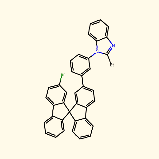 CCc1nc2ccccc2n1-c1cccc(-c2ccc3c(c2)C2(c4ccccc4-c4ccc(Br)cc42)c2ccccc2-3)c1